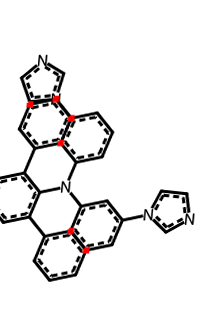 c1ccc(-c2cccc(-c3ccccc3)c2N(c2cccc(-n3ccnc3)c2)c2cccc(-n3ccnc3)c2)cc1